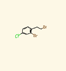 Clc1ccc(CCBr)c(Br)c1